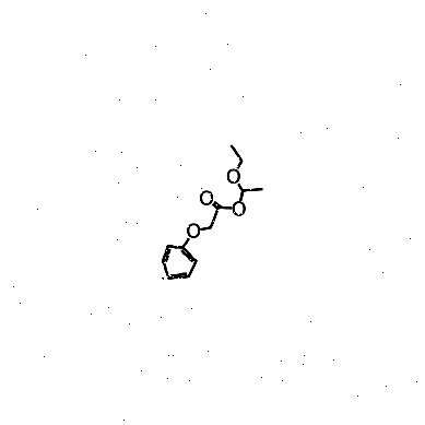 CCOC(C)OC(=O)COc1cc[c]cc1